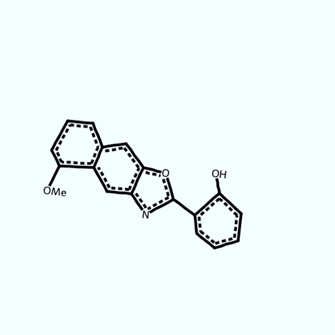 COc1cccc2cc3oc(-c4ccccc4O)nc3cc12